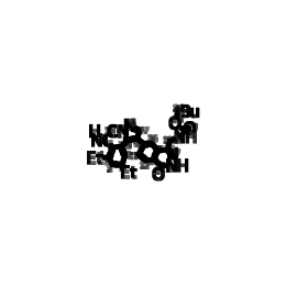 CCc1cc(CC)c(C#N)c(-c2c(-c3ccc4c(=O)[nH]nc(CNC(=O)OC(C)(C)C)c4c3)cnn2C)c1